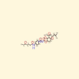 CCC(=O)CCCC(=O)Nc1ccc(C(=O)NC(=O)O[C@@H]2CC[C@]3(CO3)[C@@H](C3(C)O[C@@H]3CC=C(C)C)[C@@H]2OC)cc1